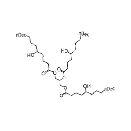 CCCCCCCCCCCCCC(O)CCCC(=O)OCC(COC(=O)CCCC(O)CCCCCCCCCCCCC)OC(=O)CCCC(O)CCCCCCCCCCCCC